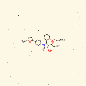 COCCOc1ccccc1C1C(C(=O)CC(C)C)=C(O)C(=O)N1c1ccc(-c2ccc(C)o2)cc1